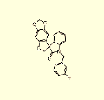 O=C1N(Cc2cccc(F)c2)c2ccccc2C12COc1cc3c(cc12)OCO3